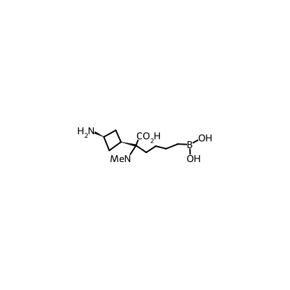 CNC(CCCCB(O)O)(C(=O)O)[C@H]1C[C@@H](N)C1